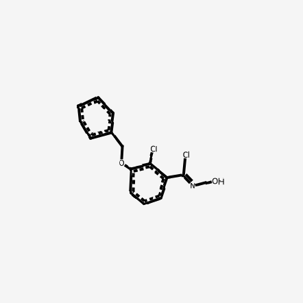 O/N=C(\Cl)c1cccc(OCc2ccccc2)c1Cl